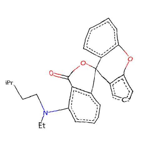 CCN(CCC(C)C)c1cccc2c1C(=O)OC21c2ccccc2Oc2ccccc21